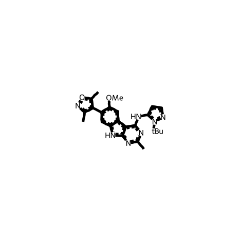 COc1cc2c(cc1-c1c(C)noc1C)[nH]c1nc(C)nc(Nc3ccnn3C(C)(C)C)c12